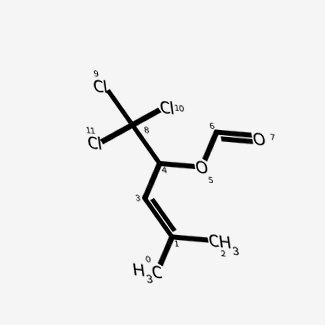 CC(C)=CC(OC=O)C(Cl)(Cl)Cl